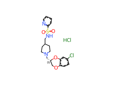 Cl.O=S(=O)(NCC1CCN(C[C@H]2COc3ccc(Cl)cc3O2)CC1)c1ccccn1